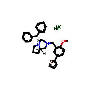 COc1ccc(-c2cccs2)cc1CN1C[C@@H]2CCCN2[C@H](C(c2ccccc2)c2ccccc2)C1.Cl.Cl